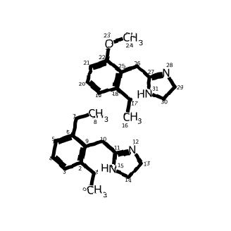 CCc1cccc(CC)c1CC1=NCCN1.CCc1cccc(OC)c1CC1=NCCN1